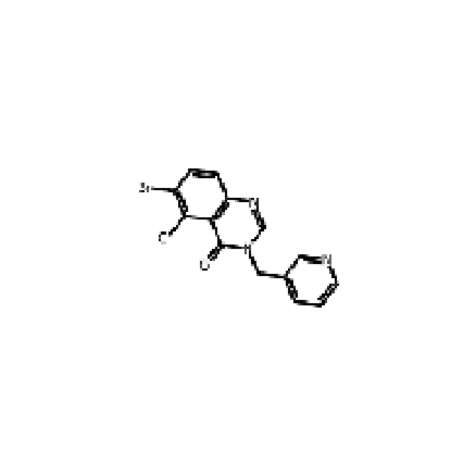 O=c1c2c(Cl)c(Br)ccc2ncn1Cc1cccnc1